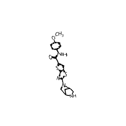 COc1ccc(NC(=O)c2cc3sc(N4CC5CC4CN5)nc3s2)cc1